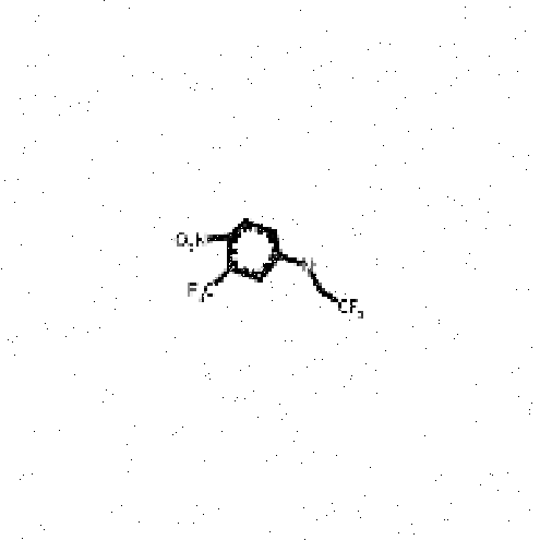 O=[N+]([O-])c1ccc([N]CC(F)(F)F)cc1C(F)(F)F